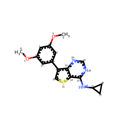 COc1cc(OC)cc(-c2csc3c(NC4CC4)ncnc23)c1